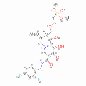 CCOP(=O)(CCOCC1(C)C(=O)c2c(O)c(=O)c(C(=O)NCc3ccc(F)cc3F)cn2CC1OC)OCC